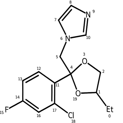 CCC1COC(Cn2ccnc2)(c2ccc(F)cc2Cl)O1